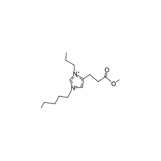 CCCCCn1cc(CCC(=O)OC)[n+](CCC)c1